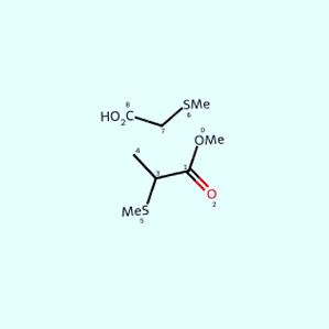 COC(=O)C(C)SC.CSCC(=O)O